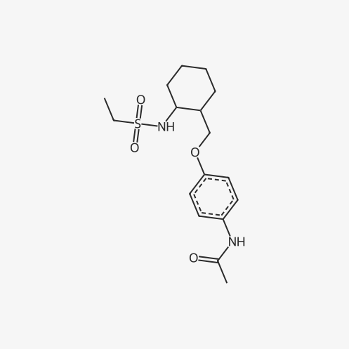 CCS(=O)(=O)NC1CCCCC1COc1ccc(NC(C)=O)cc1